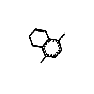 Ic1ccc(I)c2c1C=CCC2